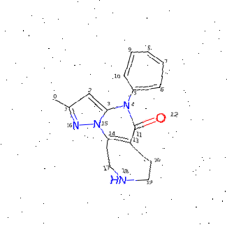 Cc1cc2n(-c3ccccc3)c(=O)c3c(n2n1)CNCC3